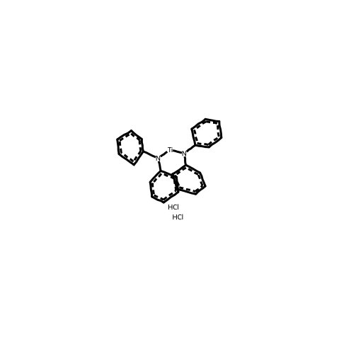 Cl.Cl.c1ccc([N]([Ti][N](c2ccccc2)c2ccccc2)c2ccccc2)cc1